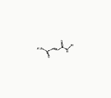 CCNC(=O)C=CC(=O)NC